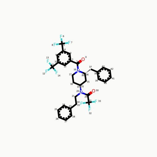 O=C(c1cc(C(F)(F)F)cc(C(F)(F)F)c1)N1CC[C@H](N(CCc2ccccc2)C(=O)C(F)(F)F)C[C@H]1Cc1ccccc1